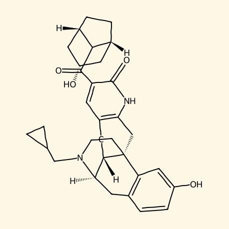 O=C(c1cc2c([nH]c1=O)C[C@]13CCN(CC4CC4)[C@H](Cc4ccc(O)cc41)[C@@H]3C2)C1[C@@H]2CC[C@H]1C[C@@H](O)C2